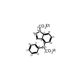 CCOC(=O)n1ncc2c(N(C(=O)O)c3ccccc3)cccc21